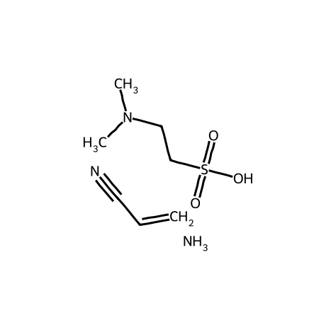 C=CC#N.CN(C)CCS(=O)(=O)O.N